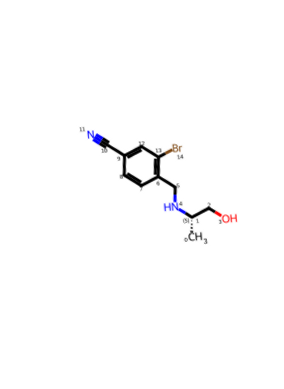 C[C@@H](CO)NCc1ccc(C#N)cc1Br